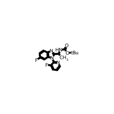 CC(NC(=O)OC(C)(C)C)c1nc2ccc(F)cc2n1-c1ncccc1F